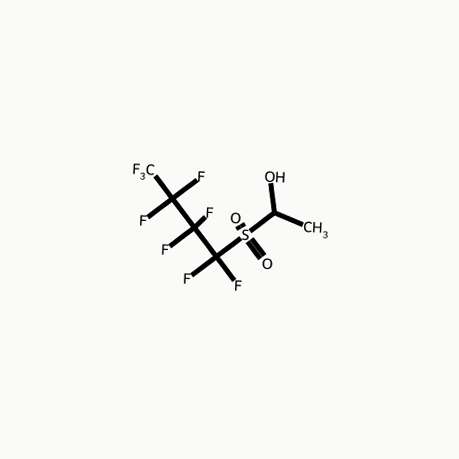 CC(O)S(=O)(=O)C(F)(F)C(F)(F)C(F)(F)C(F)(F)F